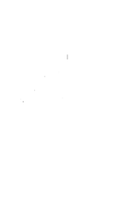 O=C(O)[C@@H](NC1=NS(=O)(=O)c2ccccc21)C1CCCCC1